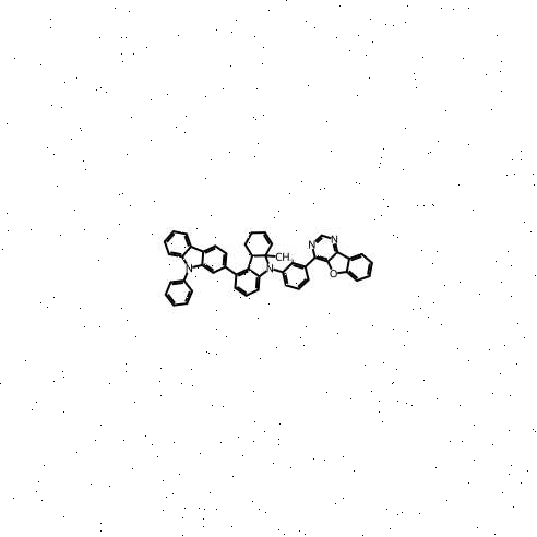 CC12C=CCCC1c1c(-c3ccc4c5ccccc5n(-c5ccccc5)c4c3)cccc1N2c1cccc(-c2ncnc3c2oc2ccccc23)c1